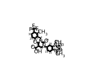 Cc1c(Cn2c(=O)c(C(=O)O)cn(-c3ccc4c(c3)N(C)S(=O)(=O)N4C)c2=O)cccc1C(F)(F)F